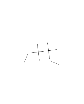 CCC(F)(F)C(F)(I)PC